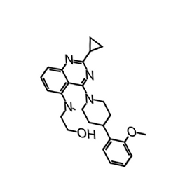 COc1ccccc1C1CCN(c2nc(C3CC3)nc3cccc(N(C)CCO)c23)CC1